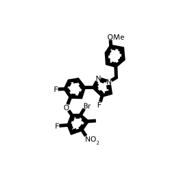 COc1ccc(Cn2cc(F)c(-c3ccc(F)c(Oc4c(F)cc([N+](=O)[O-])c(C)c4Br)c3)n2)cc1